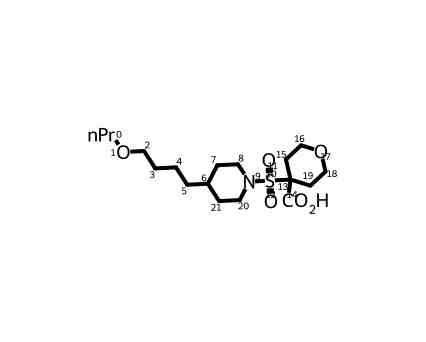 CCCOCCCCC1CCN(S(=O)(=O)C2(C(=O)O)CCOCC2)CC1